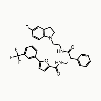 O=C(NC[C@H](C(=O)NCCN1CCc2cc(F)ccc21)c1ccccc1)c1ccc(-c2cccc(C(F)(F)F)c2)o1